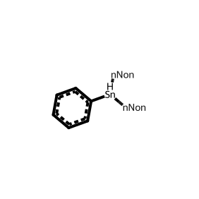 CCCCCCCC[CH2][SnH]([CH2]CCCCCCCC)[c]1ccccc1